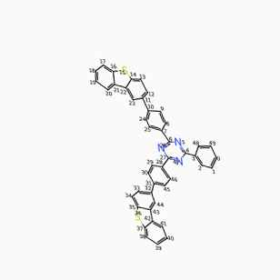 c1ccc(-c2nc(-c3ccc(-c4ccc5sc6ccccc6c5c4)cc3)nc(-c3ccc(-c4ccc5sc6ccccc6c5c4)cc3)n2)cc1